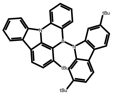 CC(C)(C)c1ccc2c3ccc(C(C)(C)C)cc3n(B3c4ccccc4-n4c5ccccc5c5ccc(C(C)(C)C)c3c54)c2c1